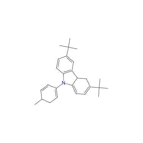 CC1C=CC(N2C3=CC=C(C(C)(C)C)CC3c3cc(C(C)(C)C)ccc32)=CC1